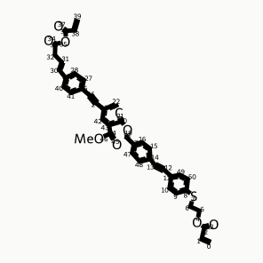 C=CC(=O)OCCSc1ccc(C#Cc2ccc(COc3ccc(C#Cc4ccc(/C=C/CC(=O)OC(=O)C=C)cc4)cc3C(=O)OC)cc2)cc1